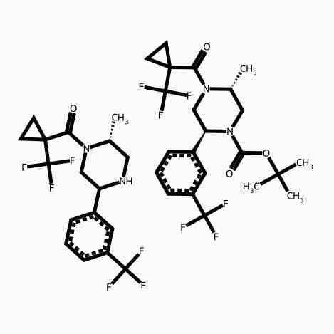 C[C@@H]1CN(C(=O)OC(C)(C)C)[C@@H](c2cccc(C(F)(F)F)c2)CN1C(=O)C1(C(F)(F)F)CC1.C[C@@H]1CNC(c2cccc(C(F)(F)F)c2)CN1C(=O)C1(C(F)(F)F)CC1